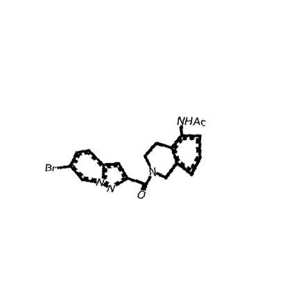 CC(=O)Nc1cccc2c1CCN(C(=O)c1cc3ccc(Br)cn3n1)C2